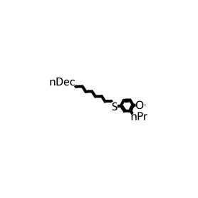 CCCCCCCCCCCCCCCCCCSc1ccc([O])c(CCC)c1